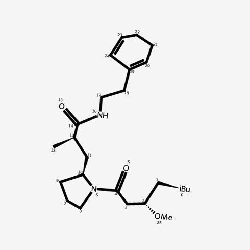 CC[C@H](C)C[C@@H](CC(=O)N1CCC[C@H]1C[C@@H](C)C(=O)NCCC1=CCCC=C1)OC